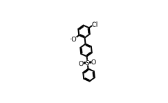 [O]c1ccc(Cl)cc1-c1ccc(S(=O)(=O)c2ccccc2)cc1